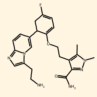 Cc1c(CCOC2=CC=C(F)CC2c2ccc3ncc(CCN)n3c2)c(C(N)=O)nn1C